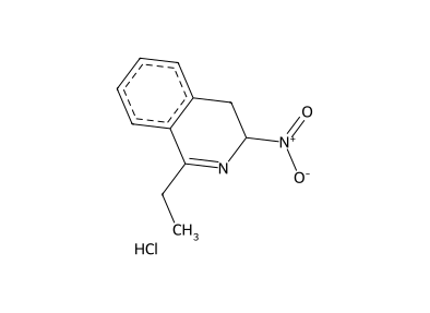 CCC1=NC([N+](=O)[O-])Cc2ccccc21.Cl